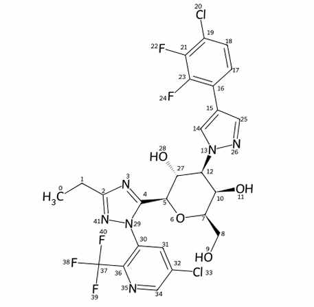 CCc1nc([C@@H]2O[C@H](CO)[C@H](O)[C@H](n3cc(-c4ccc(Cl)c(F)c4F)cn3)[C@H]2O)n(-c2cc(Cl)cnc2C(F)(F)F)n1